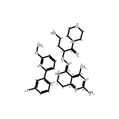 COc1cccc(-c2cc(F)ccc2[C@H]2Cc3nc(N)nc(C)c3/C(=N/OC(CCO)C(=O)N3CCOCC3)N2)n1